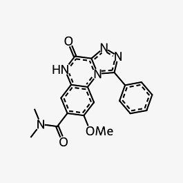 COc1cc2c(cc1C(=O)N(C)C)[nH]c(=O)c1nnc(-c3ccccc3)n12